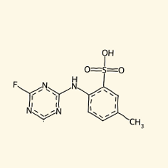 Cc1ccc(Nc2n[c]nc(F)n2)c(S(=O)(=O)O)c1